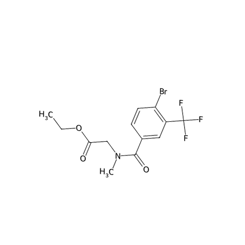 CCOC(=O)CN(C)C(=O)c1ccc(Br)c(C(F)(F)F)c1